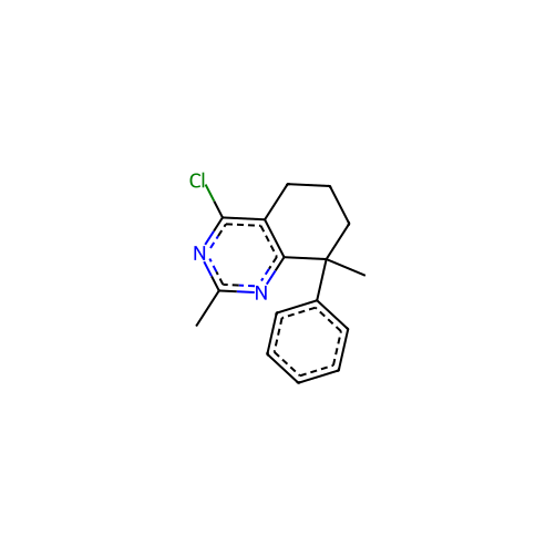 Cc1nc(Cl)c2c(n1)C(C)(c1ccccc1)CCC2